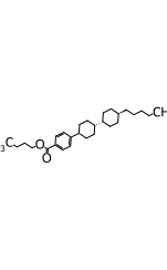 CCCCC[C@H]1CC[C@H](C2CCC(c3ccc(C(=O)OCCCC)cc3)CC2)CC1